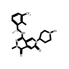 CC(=O)N1CCC(n2cc3c(N[C@H](C)c4cccc(C(F)(F)F)c4C)nn(C)c(=O)c3cc2=O)CC1